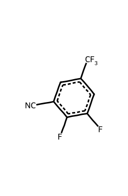 N#Cc1cc(C(F)(F)F)cc(F)c1F